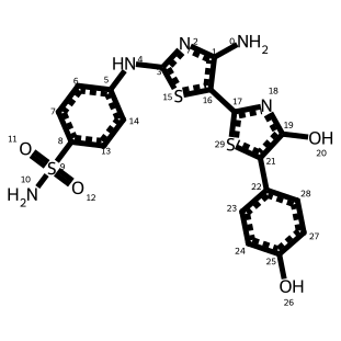 Nc1nc(Nc2ccc(S(N)(=O)=O)cc2)sc1-c1nc(O)c(-c2ccc(O)cc2)s1